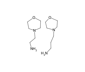 NCCCN1CCOCC1.NCCN1CCOCC1